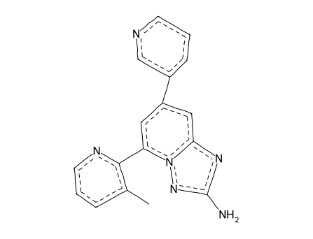 Cc1cccnc1-c1cc(-c2cccnc2)cc2nc(N)nn12